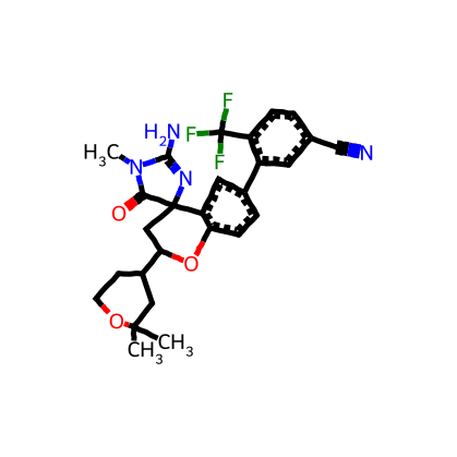 CN1C(=O)C2(CC(C3CCOC(C)(C)C3)Oc3ccc(-c4cc(C#N)ccc4C(F)(F)F)cc32)N=C1N